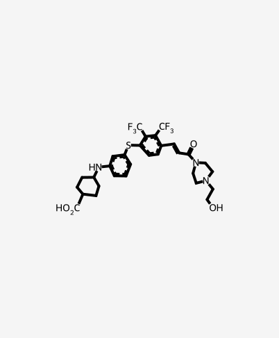 O=C(O)C1CCC(Nc2cccc(Sc3ccc(C=CC(=O)N4CCN(CCO)CC4)c(C(F)(F)F)c3C(F)(F)F)c2)CC1